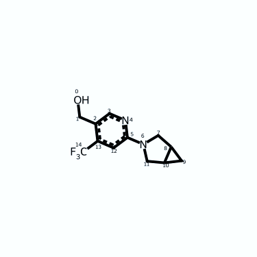 OCc1cnc(N2CC3CC3C2)cc1C(F)(F)F